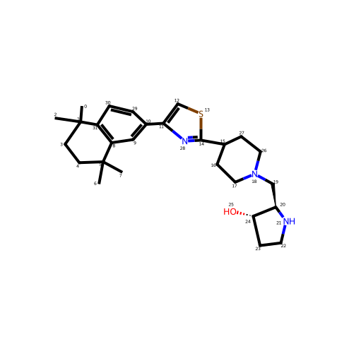 CC1(C)CCC(C)(C)c2cc(-c3csc(C4CCN(C[C@H]5NCC[C@@H]5O)CC4)n3)ccc21